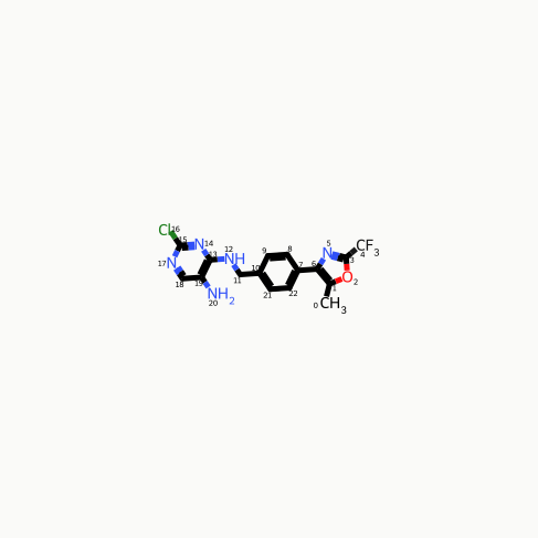 Cc1oc(C(F)(F)F)nc1-c1ccc(CNc2nc(Cl)ncc2N)cc1